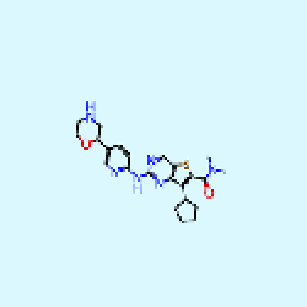 CN(C)C(=O)c1sc2cnc(Nc3ccc(C4CNCCO4)cn3)nc2c1C1CCCC1